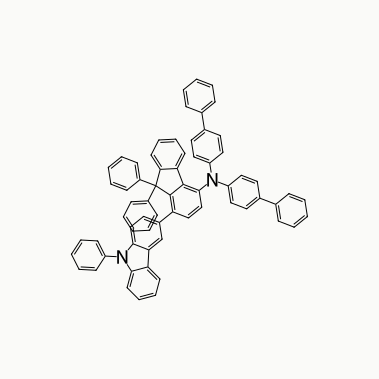 c1ccc(-c2ccc(N(c3ccc(-c4ccccc4)cc3)c3ccc(-c4ccc5c(c4)c4ccccc4n5-c4ccccc4)c4c3-c3ccccc3C4(c3ccccc3)c3ccccc3)cc2)cc1